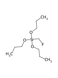 CCCO[Si](CF)(OCCC)OCCC